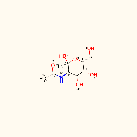 [2H]C1(O)O[C@H](CO)[C@H](O)[C@H](O)[C@H]1NC(C)=O